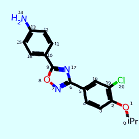 CC(C)Oc1ccc(-c2noc(-c3ccc(N)cc3)n2)cc1Cl